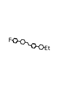 CCC1CCC(c2ccc(CCC3CCC(c4ccc(F)cc4)CC3)cc2)CC1